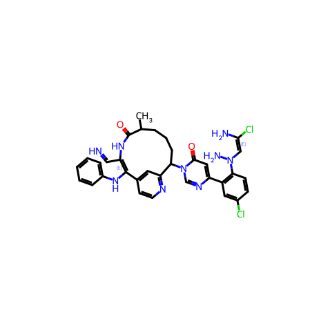 CC1CCCC(n2cnc(-c3cc(Cl)ccc3N(N)/C=C(\N)Cl)cc2=O)c2cc(ccn2)/C(Nc2ccccc2)=C(/C=N)NC1=O